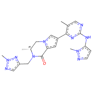 Cc1cnc(Nc2ccnn2C)nc1-c1cc2n(c1)C[C@@H](C)N(Cc1cnn(C)n1)C2=O